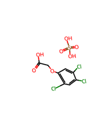 O=C(O)COc1cc(Cl)c(Cl)cc1Cl.O=S(=O)(O)O